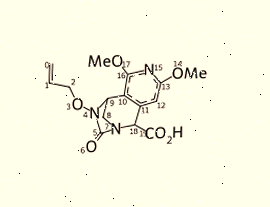 C=CCON1C(=O)N2CC1c1c(cc(OC)nc1OC)C2C(=O)O